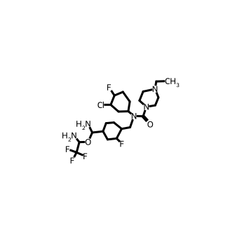 CCN1CCN(C(=O)N(CC2CCC(C(N)OC(N)C(F)(F)F)CC2F)C2CCC(F)C(Cl)C2)CC1